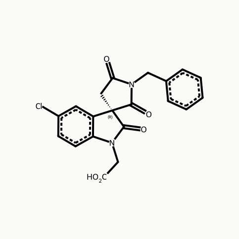 O=C(O)CN1C(=O)[C@@]2(CC(=O)N(Cc3ccccc3)C2=O)c2cc(Cl)ccc21